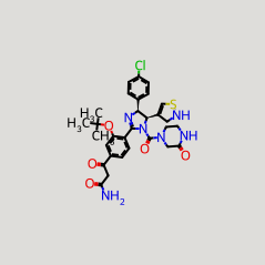 CC(C)(C)Oc1cc(C(=O)CC(N)=O)ccc1C1=N[C@@H](c2ccc(Cl)cc2)[C@@H](C2=CSNC2)N1C(=O)N1CCNC(=O)C1